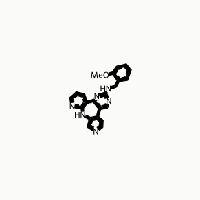 COc1ccccc1CNc1ncc2c(n1)-c1cccnc1Nc1cnccc1-2